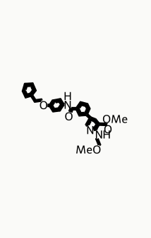 COCCNc1ncc(-c2cccc(C(=O)Nc3ccc(OCCc4ccccc4)cc3)c2)cc1C(=O)OC